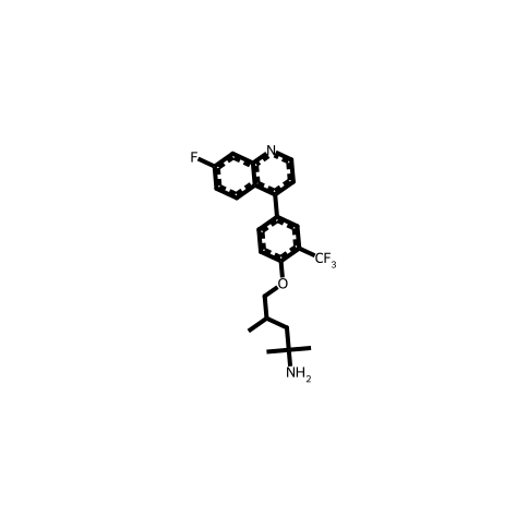 CC(COc1ccc(-c2ccnc3cc(F)ccc23)cc1C(F)(F)F)CC(C)(C)N